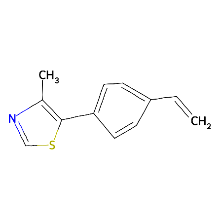 C=Cc1ccc(-c2scnc2C)cc1